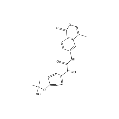 Cc1noc(=O)c2ccc(NC(=O)C(=O)c3ccc(O[Si](C)(C)C(C)(C)C)cc3)cc12